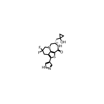 O=C1N[C@@H](CC2(O)CC2)CN2CC(F)(F)Cc3c(-c4cn[nH]c4)sc1c32